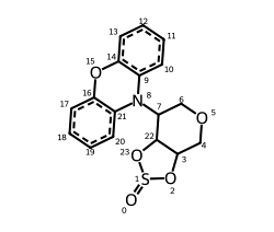 O=S1OC2COCC(N3c4ccccc4Oc4ccccc43)C2O1